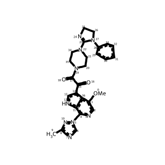 COc1cnc(-n2cnc(C)n2)c2[nH]cc(C(=O)C(=O)N3CCN(C4=NCCN4c4ccccc4)CC3)c12